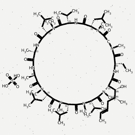 CC=CC[C@@H](C)[C@@H](O)[C@H]1C(=O)N[C@@H](CC)C(=O)N(C)CC(=O)N(C)[C@@H](CC(C)C)C(=O)N[C@@H](C(C)C)C(=O)N(C)[C@@H](CC(C)C)C(=O)N[C@@H](C)C(=O)N[C@H](C)C(=O)N(C)[C@@H](CC(C)C)C(=O)N(C)[C@@H](CC(C)C)C(=O)N(C)[C@@H](C(C)C)C(=O)N1C.O=S(=O)(O)O